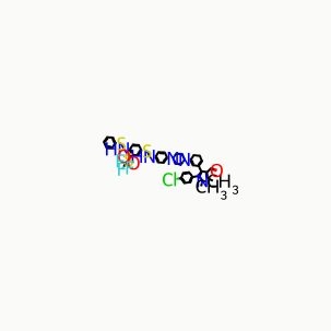 Cc1c(C=O)c(C2=CCCC(N3CCN(c4ccc(NSc5ccc(NSc6ccccc6)c(S(=O)(=O)C(F)(F)F)c5)cc4)CC3)=C2)c(-c2ccc(Cl)cc2)n1C